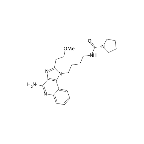 COCCc1nc2c(N)nc3ccccc3c2n1CCCCNC(=O)N1CCCC1